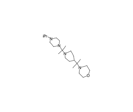 CC(C)N1CCN(C(C)(C)N2CCC(C(C)(C)N3CCOCC3)CC2)CC1